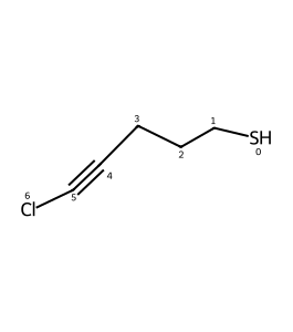 SCCCC#CCl